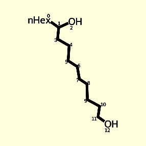 CCCCCCC(O)CCCCCCCCCO